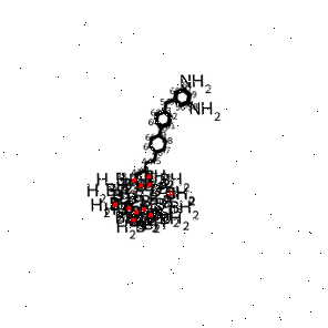 BBB(B)B(B(B)B)B(B(B(B(B)B)B(B)B)B(B(B)B)B(B)B)B(B(B(B(B)B)B(B)B)B(B(B)B)B(B)B)C1CCC(CCC2CCC(c3ccc(Cc4cc(N)cc(N)c4)cc3)CC2)CC1